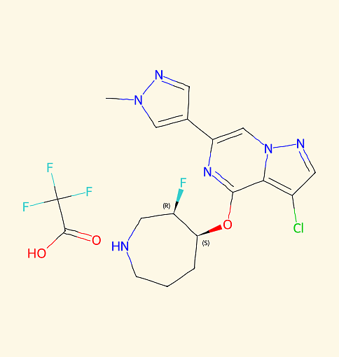 Cn1cc(-c2cn3ncc(Cl)c3c(O[C@H]3CCCNC[C@H]3F)n2)cn1.O=C(O)C(F)(F)F